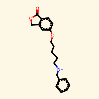 O=C1OCc2cc(OCCCCCNCc3ccccc3)ccc21